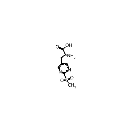 CS(=O)(=O)c1ncc(CC(N)C(=O)O)cn1